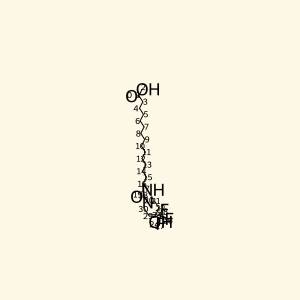 O=C(O)CCCCCCCCCCCCCCNC(=O)N1CCC(O)(C(F)(F)F)CC1